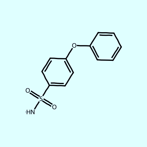 [NH]S(=O)(=O)c1ccc(Oc2ccccc2)cc1